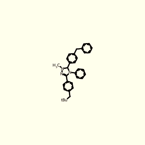 CN1N=C(c2ccc(CC(C)(C)C)cc2)N(c2ccccc2)C1c1ccc(Cc2ccccc2)cc1